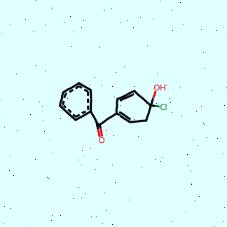 O=C(C1=CCC(O)(Cl)C=C1)c1ccccc1